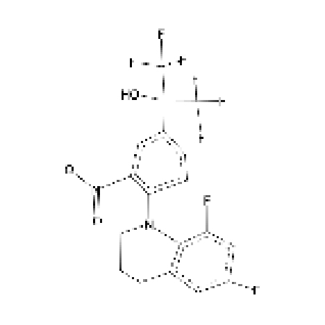 O=[N+]([O-])c1cc(C(O)(C(F)(F)F)C(F)(F)F)ccc1N1CCCc2cc(F)cc(F)c21